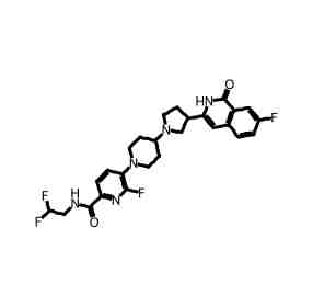 O=C(NCC(F)F)c1ccc(N2CCC(N3CCC(c4cc5ccc(F)cc5c(=O)[nH]4)C3)CC2)c(F)n1